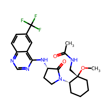 CO[C@]1(CNC(C)=O)CCCC[C@@H]1N1CC[C@H](Nc2ncnc3ccc(C(F)(F)F)cc23)C1=O